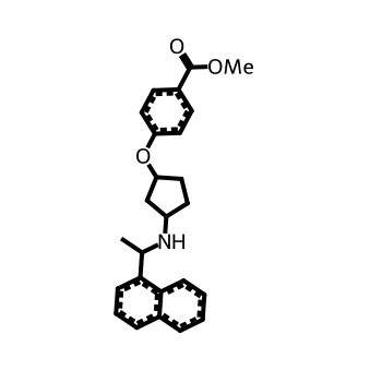 COC(=O)c1ccc(OC2CCC(NC(C)c3cccc4ccccc34)C2)cc1